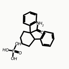 NC(=O)C1(c2ccccc2)CCCCC1c1ccccc1.O=P(O)(O)O